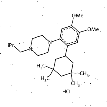 COc1cc(C2CC(C)(C)CC(C)(C)C2)c(N2CCN(CC(C)C)CC2)cc1OC.Cl